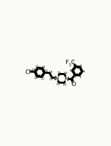 O=C(c1cccc(C(F)(F)F)c1)N1CCN(CCc2ccc(Cl)cc2)CC1